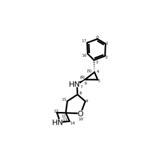 c1ccc([C@@H]2C[C@H]2NC2COC3(CNC3)C2)cc1